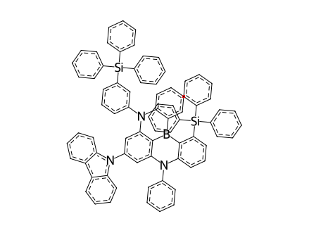 c1ccc(N2c3cc(-n4c5ccccc5c5ccccc54)cc4c3B(c3ccccc3N4c3cccc([Si](c4ccccc4)(c4ccccc4)c4ccccc4)c3)c3c2cccc3[Si](c2ccccc2)(c2ccccc2)c2ccccc2)cc1